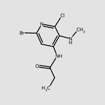 CCC(=O)Nc1cc(Br)nc(Cl)c1NC